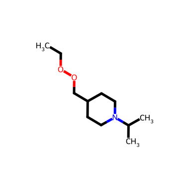 CCOOCC1CCN(C(C)C)CC1